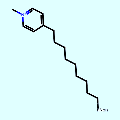 CCCCCCCCCCCCCCCCCCc1cc[n+](C)cc1